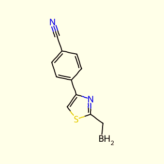 BCc1nc(-c2ccc(C#N)cc2)cs1